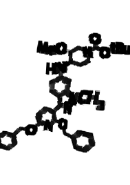 CO[C@@H]1CN(C(=O)OC(C)(C)C)CC[C@H]1Nc1ccc2c(-c3ccc(OCc4ccccc4)nc3OCc3ccccc3)nn(C)c2c1